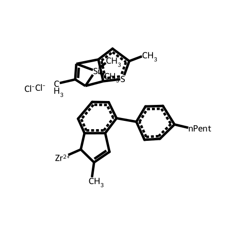 CC1=C2c3cc(C)sc3C1[Si]2(C)C.CCCCCc1ccc(-c2cccc3c2C=C(C)[CH]3[Zr+2])cc1.[Cl-].[Cl-]